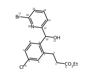 CCOC(=O)CCc1cc(Cl)ccc1C(O)c1cccc(Br)n1